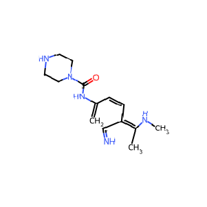 C=C(/C=C\C(C=N)=C(C)NC)NC(=O)N1CCNCC1